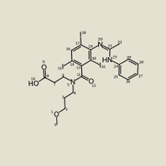 COCCCN(CCC(=O)O)C(=O)c1c(I)cc(I)c(N=C(C)Nc2ccccc2)c1I